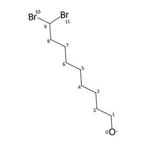 [O]CCCCCCCCC(Br)Br